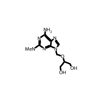 CNc1nc(N)c2ncn(COC(CO)CO)c2n1